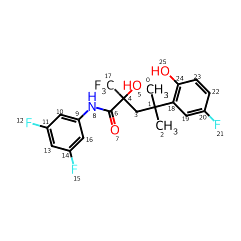 CC(C)(CC(O)(C(=O)Nc1cc(F)cc(F)c1)C(F)(F)F)c1cc(F)ccc1O